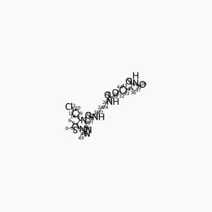 Cc1sc2c(c1C)C(c1ccc(Cl)cc1)=N[C@@H](CC(=O)NCCCCCNC(=O)COc1ccc(C3CCC(=O)NC3=O)cc1)c1nnc(C)n1-2